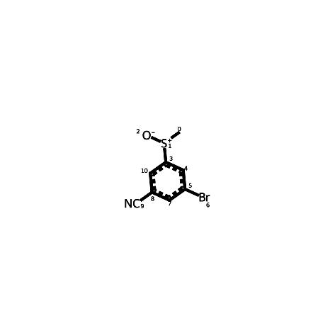 C[S+]([O-])c1cc(Br)cc(C#N)c1